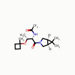 C[C@@H](OC1(C)CCC1)[C@H](NC(=O)C(F)(F)F)C(=O)N1C[C@@H]2[C@H](C1)C2(C)C